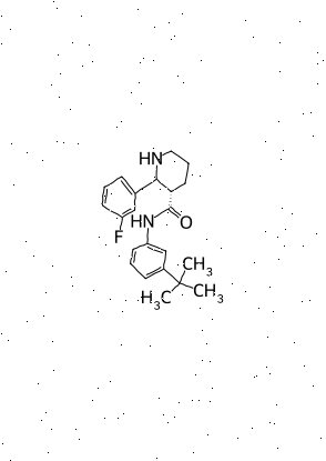 CC(C)(C)c1cccc(NC(=O)[C@H]2CCCNC2c2cccc(F)c2)c1